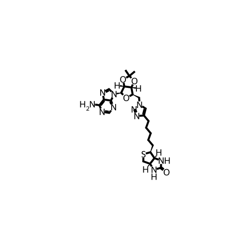 CC1(C)O[C@@H]2[C@H](O1)[C@@H](Cn1cc(CCCCC[C@@H]3SC[C@@H]4NC(=O)N[C@@H]43)nn1)O[C@H]2n1cnc2c(N)ncnc21